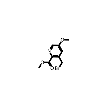 COC(=O)c1ncc(OC)cc1CBr